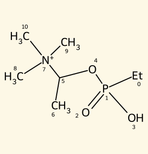 CCP(=O)(O)OC(C)[N+](C)(C)C